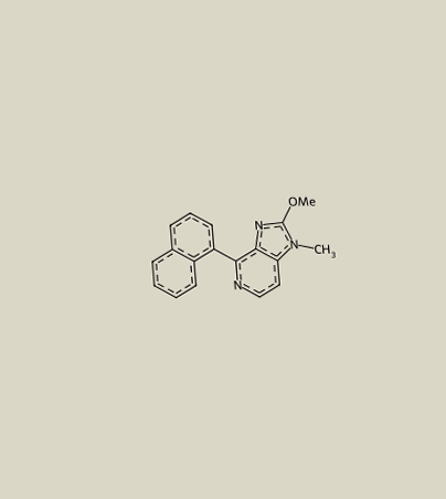 COc1nc2c(-c3cccc4ccccc34)nccc2n1C